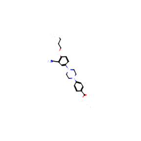 CCCCOc1ccc(N2CCN(c3ccc(C(=O)OC)cc3)CC2)cc1C#N